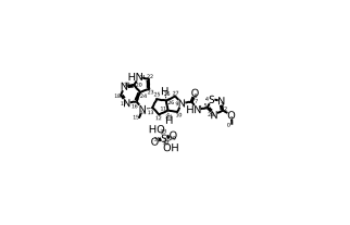 COc1nsc(NC(=O)N2C[C@H]3C[C@H](N(C)c4ncnc5[nH]ccc45)C[C@H]3C2)n1.O=S(=O)(O)O